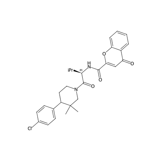 CC(C)[C@@H](NC(=O)c1cc(=O)c2ccccc2o1)C(=O)N1CCC(c2ccc(Cl)cc2)C(C)(C)C1